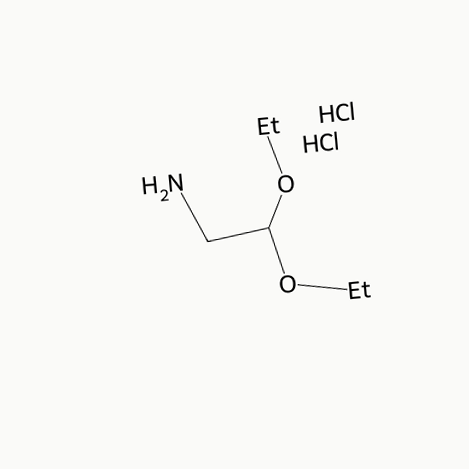 CCOC(CN)OCC.Cl.Cl